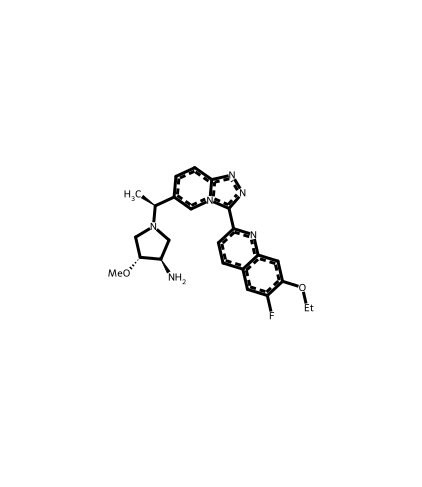 CCOc1cc2nc(-c3nnc4ccc([C@H](C)N5C[C@@H](N)[C@H](OC)C5)cn34)ccc2cc1F